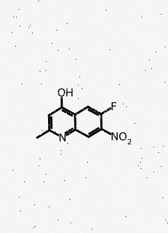 Cc1cc(O)c2cc(F)c([N+](=O)[O-])cc2n1